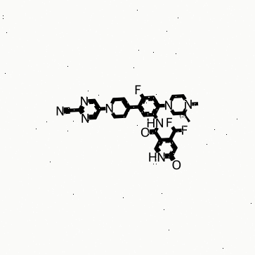 C[C@H]1CN(c2cc(F)c(C3=CCN(c4cnc(C#N)nc4)CC3)cc2NC(=O)c2c[nH]c(=O)cc2C(F)F)CCN1C